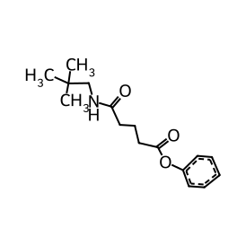 CC(C)(C)CNC(=O)CCCC(=O)Oc1ccccc1